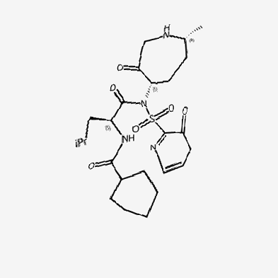 CC(C)C[C@H](NC(=O)C1CCCCC1)C(=O)N([C@H]1CC[C@@H](C)NCC1=O)S(=O)(=O)C1=NC=CCC1=O